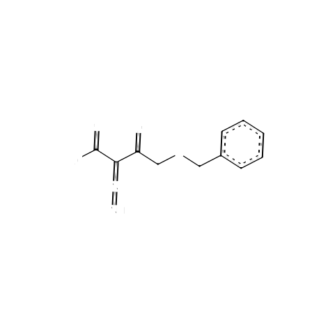 N=[N+]=C(C(=O)[O-])C(=O)CSCc1ccccc1